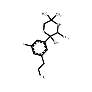 CCCc1cc(F)cc(C2(O)OCC(C)(C)NC2C)c1